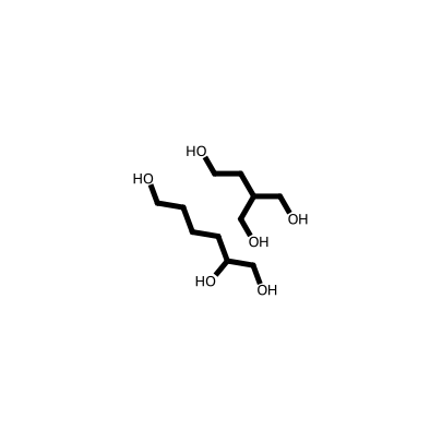 OCCC(CO)CO.OCCCCC(O)CO